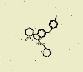 O=C(CC1(c2ccc(Oc3ccc(F)cc3)cc2)CCCCS1(=O)=O)NOC1CCCCO1